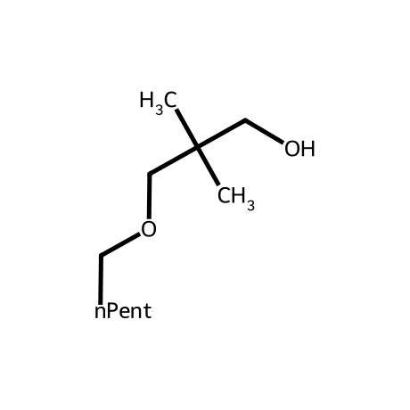 CCCCCCOCC(C)(C)CO